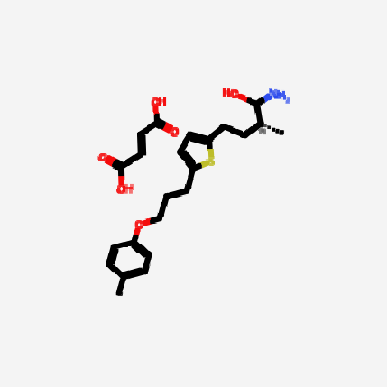 Cc1ccc(OCCCc2ccc(CC[C@@H](C)C(N)O)s2)cc1.O=C(O)C=CC(=O)O